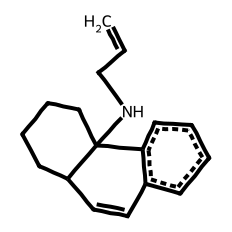 C=CCNC12CCCCC1C=Cc1ccccc12